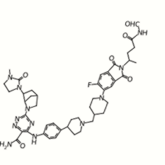 CC(CCC(=O)NC=O)N1C(=O)c2cc(F)c(N3CCC(CN4CCC(c5ccc(Nc6nc(N7CC8CC(N9CCN(C)C9=O)C7C8)nnc6C(N)=O)cc5)CC4)CC3)cc2C1=O